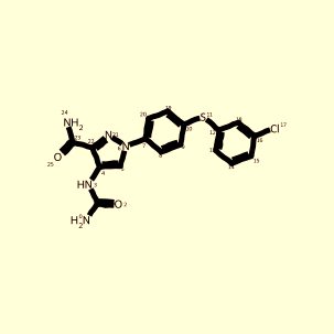 NC(=O)Nc1cn(-c2ccc(Sc3cccc(Cl)c3)cc2)nc1C(N)=O